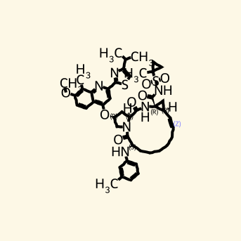 COc1ccc2c(O[C@@H]3C[C@H]4C(=O)N[C@]5(C(=O)NS(=O)(=O)C6(C)CC6)C[C@H]5/C=C\CCCCC[C@H](Nc5cccc(C)c5)C(=O)N4C3)cc(-c3nc(C(C)C)cs3)nc2c1C